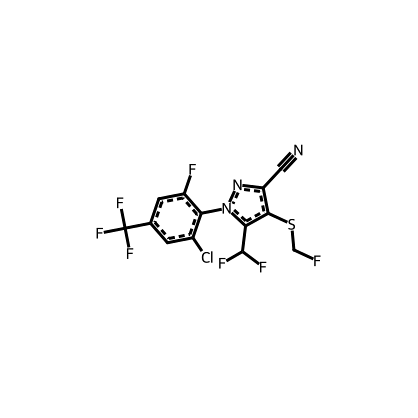 N#Cc1nn(-c2c(F)cc(C(F)(F)F)cc2Cl)c(C(F)F)c1SCF